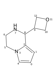 c1cc2n(c1)CCNC2C1COC1